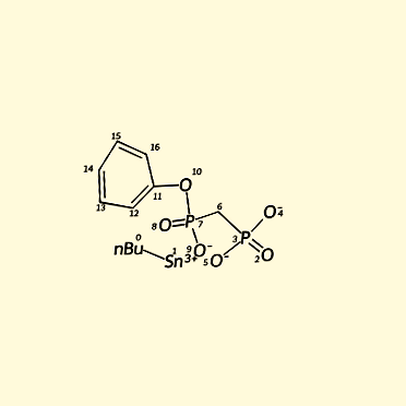 CCC[CH2][Sn+3].O=P([O-])([O-])CP(=O)([O-])Oc1ccccc1